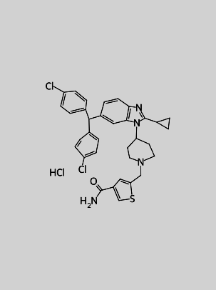 Cl.NC(=O)c1csc(CN2CCC(n3c(C4CC4)nc4ccc(C(c5ccc(Cl)cc5)c5ccc(Cl)cc5)cc43)CC2)c1